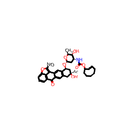 CC(=O)[C@]1(O)Cc2cc3c(cc2[C@@H](O[C@H]2C[C@@H](NC(=O)OC4/C=C/CCCCC4)[C@H](O)[C@H](C)O2)C1)-c1c(N=O)oc2cccc(c12)C3=O